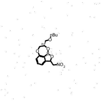 CCCCOC[C@@H]1COc2cccc3c2B(OC3C[N+](=O)[O-])O1